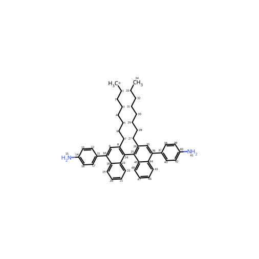 CCCCCCCCc1cc(-c2ccc(N)cc2)c2ccccc2c1-c1c(CCCCCCCC)cc(-c2ccc(N)cc2)c2ccccc12